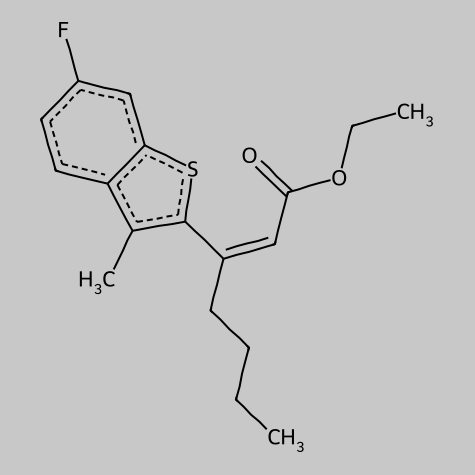 CCCC/C(=C/C(=O)OCC)c1sc2cc(F)ccc2c1C